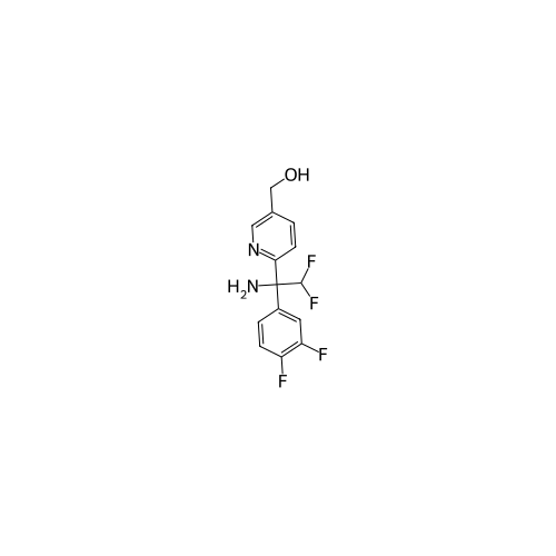 NC(c1ccc(F)c(F)c1)(c1ccc(CO)cn1)C(F)F